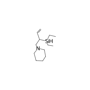 C=CC(CN1CCCCC1)[SiH](CC)CC